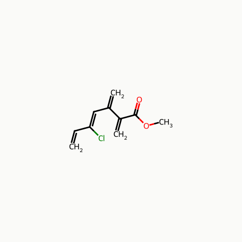 C=CC(Cl)=CC(=C)C(=C)C(=O)OC